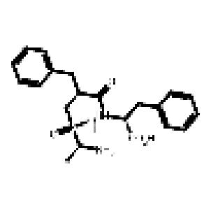 C[C@H](N)P(=O)(O)C[C@@H](Cc1ccccc1)C(=O)N[C@@H](Cc1ccccc1)C(=O)O